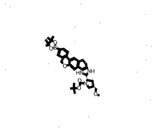 COC[C@H]1C[C@@H](C2NC3=C(N2)c2cc4c(cc2CC3)-c2ccc(B3OC(C)(C)C(C)(C)O3)cc2CO4)N(C(=O)OC(C)(C)C)C1